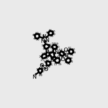 N#Cc1ccc(S(=O)(=O)c2ccc(-n3c4ccccc4c4c3c3c5ccccc5n(-c5ccc(-c6nc(-c7ccccc7)nc(-c7ccccc7)n6)cc5)c3c3c5ccccc5n(-c5cc6c7c(c5)Oc5ccccc5B7c5ccccc5O6)c34)cc2)cc1